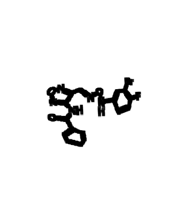 O=C(Nc1nonc1/C=N/ONc1ccc(F)c(Br)c1)c1ccccc1